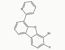 [2H]c1c(F)ccc2c1oc1c(-c3ccccn3)cccc12